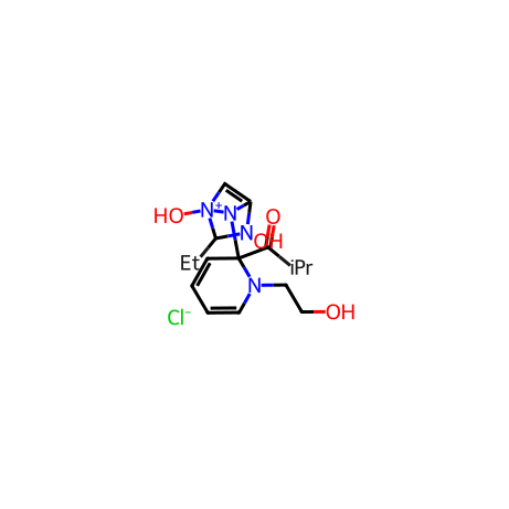 CCC1N(O)C2=C[N+]1(O)N2C1(C(=O)C(C)C)C=CC=CN1CCO.[Cl-]